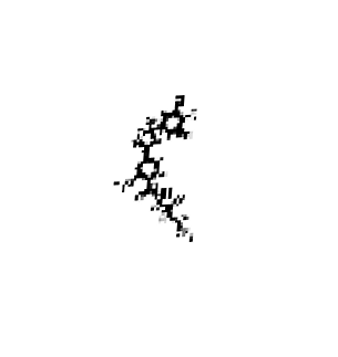 Cc1cc(C2=NOC(c3cc(Cl)c(F)c(Cl)c3)(C(F)(F)F)C2)ccc1C(=O)NCC(=O)NCC(F)(F)F